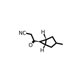 CC1C[C@@H]2[C@H](C1)[C@H]2C(=O)CC#N